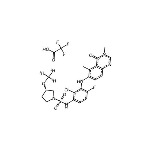 O=C(O)C(F)(F)F.[2H]C([2H])([2H])O[C@@H]1CCN(S(=O)(=O)Nc2ccc(F)c(Nc3ccc4ncn(C)c(=O)c4c3C)c2Cl)C1